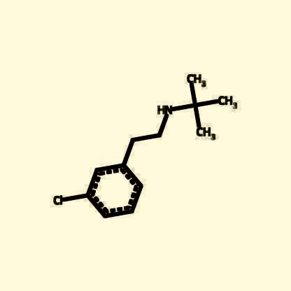 CC(C)(C)NCCc1cccc(Cl)c1